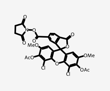 COc1cc2c(c(Cl)c1OC(C)=O)Oc1c(cc(OC)c(OC(C)=O)c1Cl)C21OC(=O)c2ccc(C(=O)ON3C(=O)CCC3=O)cc21